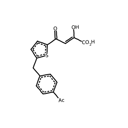 CC(=O)c1ccc(Cc2ccc(C(=O)C=C(O)C(=O)O)s2)cc1